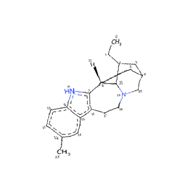 CCC1CC2C[C@H]3c4[nH]c5ccc(C)cc5c4CCN(C2)C13